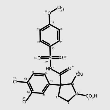 CC(C)(C)C1N(C(=O)O)CCC1(C(=O)NS(=O)(=O)c1ccc(OC(F)(F)F)cc1)c1ccc(Cl)c(Cl)c1